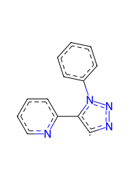 [c]1nnn(-c2ccccc2)c1-c1ccccn1